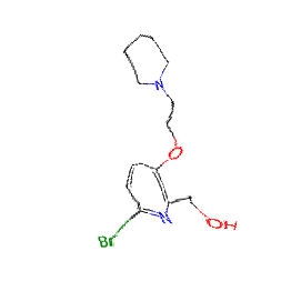 OCc1nc(Br)ccc1OCCN1CCCC1